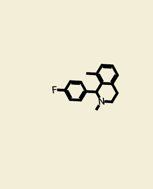 Cc1cccc2c1C(c1ccc(F)cc1)N(C)CC2